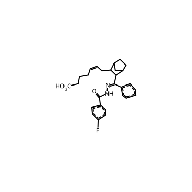 O=C(O)CCC/C=C\CC1C2CCC(C2)C1C(=NNC(=O)c1ccc(F)cc1)c1ccccc1